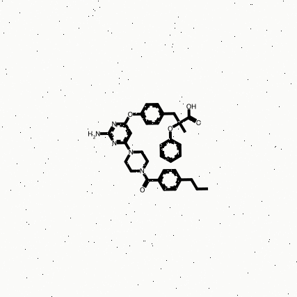 CCCc1ccc(C(=O)N2CCN(c3cc(Oc4ccc(CC(C)(Oc5ccccc5)C(=O)O)cc4)nc(N)n3)CC2)cc1